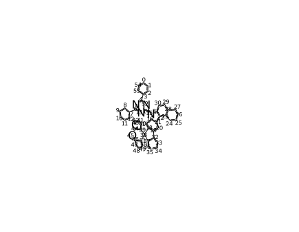 c1ccc(-c2nc(-c3ccccc3)nc(-n3c4cc5c(cc4c4c6ccccc6ccc43)-c3ccccc3C53c4ccccc4Oc4ccccc43)n2)cc1